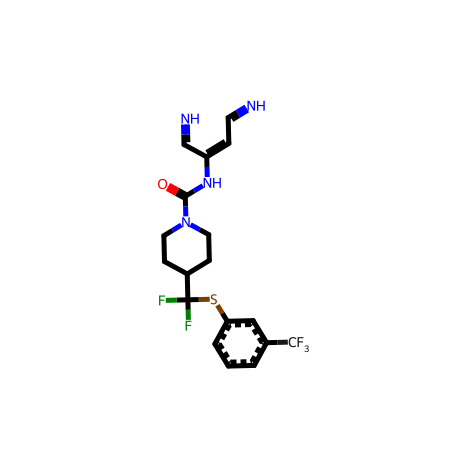 N=C/C=C(\C=N)NC(=O)N1CCC(C(F)(F)Sc2cccc(C(F)(F)F)c2)CC1